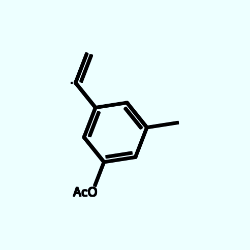 C=[C]c1cc(C)cc(OC(C)=O)c1